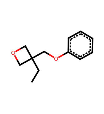 CCC1(COc2ccccc2)COC1